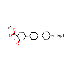 CCCCCCC[C@H]1CC[C@H](C2CCC(C3CC[C@](C)(C(=O)OCCC)C(=O)C3)CC2)CC1